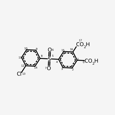 O=C(O)c1ccc(S(=O)(=O)c2cccc(Cl)c2)cc1C(=O)O